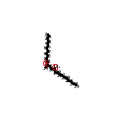 CCCCCCCCCCCCOC(C)CCC([O])CCCCCCCCCCC